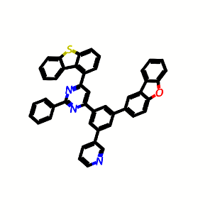 c1ccc(-c2nc(-c3cc(-c4cccnc4)cc(-c4ccc5oc6ccccc6c5c4)c3)cc(-c3cccc4sc5ccccc5c34)n2)cc1